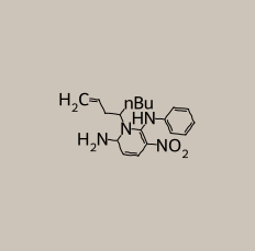 C=CCC(CCCC)N1C(Nc2ccccc2)=C([N+](=O)[O-])C=CC1N